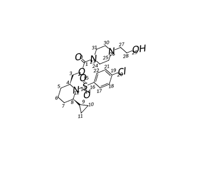 O=C(OC[C@@H]1CCC[C@H](C2CC2)N1S(=O)(=O)c1ccc(Cl)cc1)N1CCN(CCO)CC1